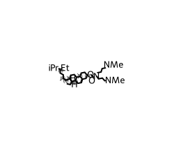 CC[C@H](CC[C@@H](C)[C@H]1CC[C@H]2[C@@H]3CC=C4C[C@@H](OC(=O)N(CCCCNC)CCCNC)CC[C@]4(C)C3CC[C@]12C)C(C)C